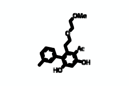 COCCOCCc1c(C(C)=O)c(O)cc(O)c1-c1cccc(C)c1